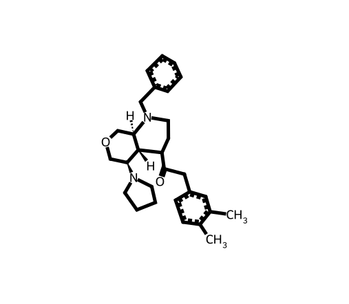 Cc1ccc(CC(=O)C2CCN(Cc3ccccc3)[C@@H]3COC[C@H](N4CCCC4)[C@@H]23)cc1C